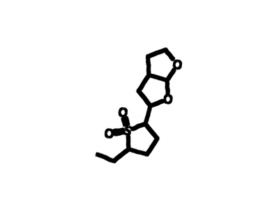 CCC1CCC(C2CC3CCOC3O2)S1(=O)=O